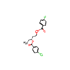 CCC(CCOC(=O)c1ccc(Cl)cc1)OC(=O)c1ccc(Cl)cc1